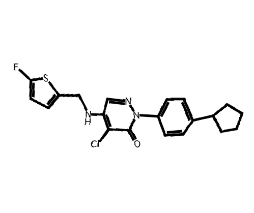 O=c1c(Cl)c(NCc2ccc(F)s2)cnn1-c1ccc(C2CCCC2)cc1